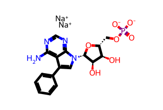 Nc1ncnc2c1c(-c1ccccc1)cn2[C@@H]1O[C@H](COP(=O)([O-])[O-])[C@@H](O)[C@H]1O.[Na+].[Na+]